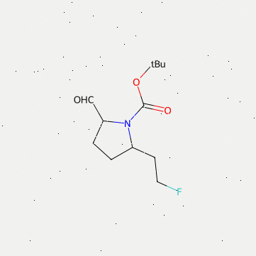 CC(C)(C)OC(=O)N1C(C=O)CCC1CCF